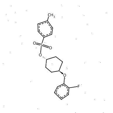 Cc1ccc(S(=O)(=O)O[C@H]2CC[C@H](Oc3ccccc3F)CC2)cc1